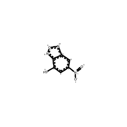 O=[N+]([O-])c1cc(S)c2nonc2c1